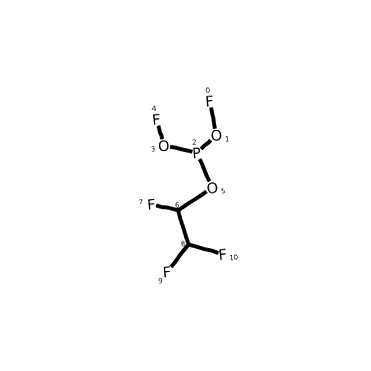 FOP(OF)OC(F)C(F)F